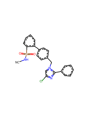 N#CNS(=O)(=O)c1ccccc1-c1ccc(Cn2cc(Cl)nc2-c2ccccc2)cc1